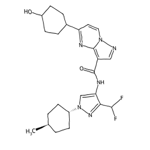 C[C@H]1CC[C@H](n2cc(NC(=O)c3cnn4ccc(C5CCC(O)CC5)nc34)c(C(F)F)n2)CC1